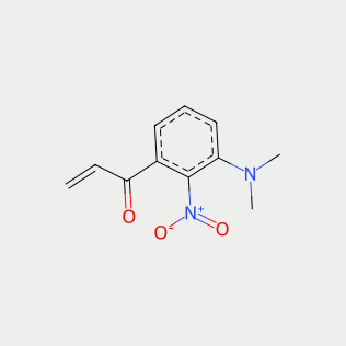 C=CC(=O)c1cccc(N(C)C)c1[N+](=O)[O-]